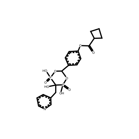 O=C(Oc1ccc(C2OP(=O)(O)C(O)(Cc3cccnc3)P(=O)(O)O2)cc1)C1CCC1